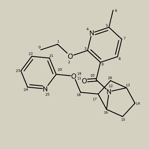 CCOc1nc(C)ccc1C(=O)N1C2CCC1C(COc1ccccn1)C2